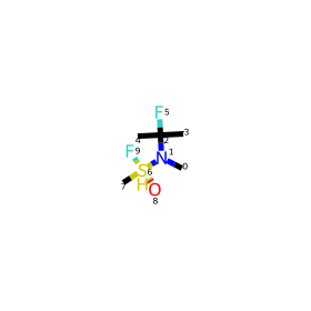 CN(C(C)(C)F)[SH](C)(=O)F